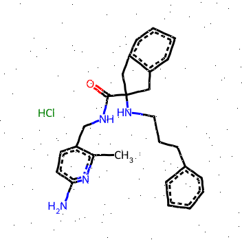 Cc1nc(N)ccc1CNC(=O)C1(NCCCc2ccccc2)Cc2ccccc2C1.Cl